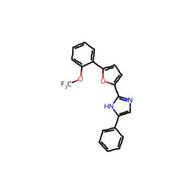 FC(F)(F)Oc1ccccc1-c1ccc(-c2ncc(-c3ccccc3)[nH]2)o1